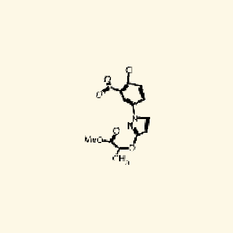 COC(=O)C(C)Oc1ccn(-c2ccc(Cl)c(I(=O)=O)c2)n1